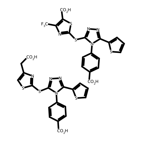 O=C(O)Cc1csc(Sc2nnc(-c3cccs3)n2-c2ccc(C(=O)O)cc2)n1.O=C(O)c1ccc(-n2c(Sc3nc(C(F)(F)F)c(C(=O)O)s3)nnc2-c2cccs2)cc1